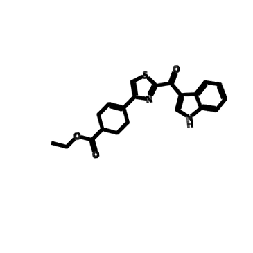 CCOC(=O)C1CC=C(c2csc(C(=O)c3c[nH]c4ccccc34)n2)CC1